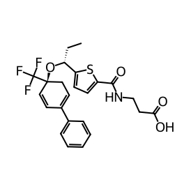 CC[C@@H](O[C@]1(C(F)(F)F)C=CC(c2ccccc2)=CC1)c1ccc(C(=O)NCCC(=O)O)s1